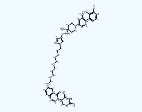 CC1(NCc2cn(CCOCCOCCOCCNc3ccc4cnn(C5CCC(=O)NC5=O)c(=O)c4c3)nn2)CCN(c2cnc(-c3cccc(Cl)c3Cl)c(N)n2)CC1